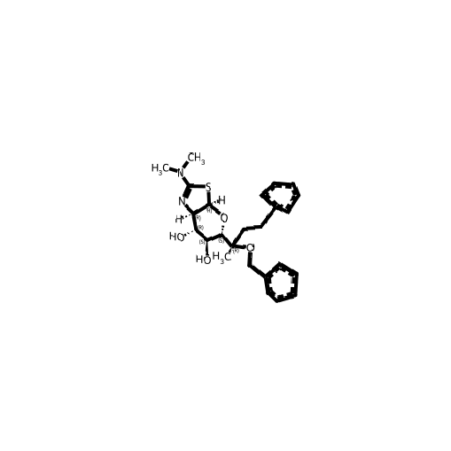 CN(C)C1=N[C@@H]2[C@@H](O)[C@H](O)[C@@H]([C@@](C)(CCc3ccccc3)OCc3ccccc3)O[C@@H]2S1